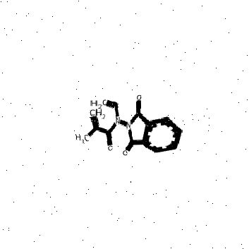 C=CN(C(=O)C(=C)C)N1C(=O)c2ccccc2C1=O